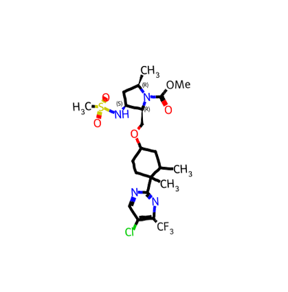 COC(=O)N1[C@H](C)C[C@H](NS(C)(=O)=O)[C@@H]1COC1CCC(C)(c2ncc(Cl)c(C(F)(F)F)n2)C(C)C1